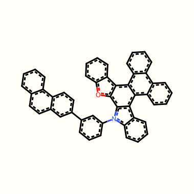 c1cc(-c2ccc3c(ccc4ccccc43)c2)cc(-n2c3ccccc3c3c4c5ccccc5c5ccccc5c4c4c5ccccc5oc4c32)c1